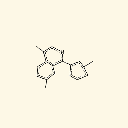 Cc1cccc(-c2ncc(C)c3ccc(C)cc23)c1